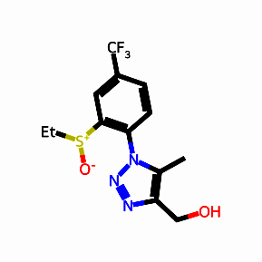 CC[S+]([O-])c1cc(C(F)(F)F)ccc1-n1nnc(CO)c1C